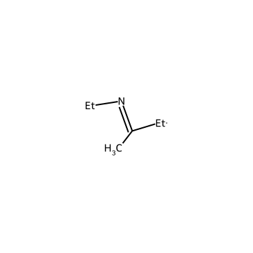 C[CH]/C(C)=N/CC